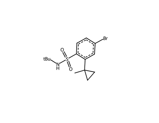 CC(C)(C)NS(=O)(=O)c1ccc(Br)cc1C1(C)CC1